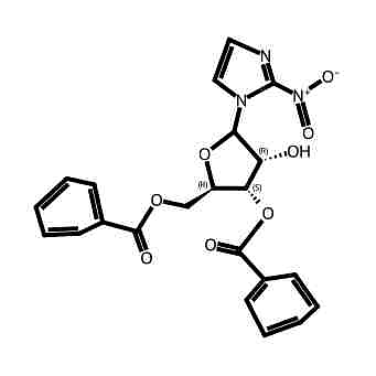 O=C(OC[C@H]1OC(n2ccnc2[N+](=O)[O-])[C@H](O)[C@@H]1OC(=O)c1ccccc1)c1ccccc1